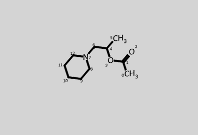 CC(=O)OC(C)[CH]N1CCCCC1